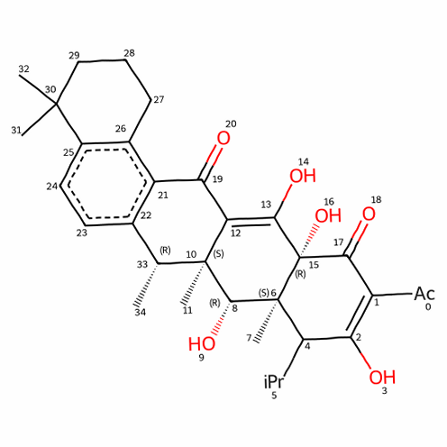 CC(=O)C1=C(O)C(C(C)C)[C@@]2(C)[C@H](O)[C@]3(C)C(=C(O)[C@@]2(O)C1=O)C(=O)c1c(ccc2c1CCCC2(C)C)[C@H]3C